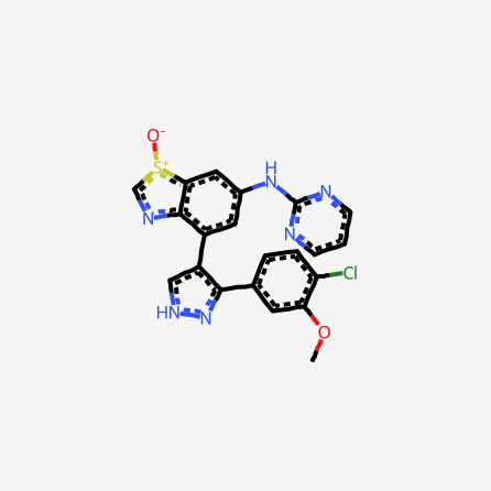 COc1cc(-c2n[nH]cc2-c2cc(Nc3ncccn3)cc3c2nc[s+]3[O-])ccc1Cl